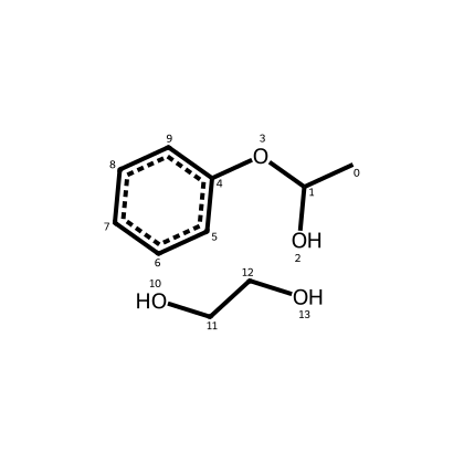 CC(O)Oc1ccccc1.OCCO